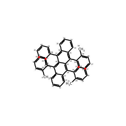 Cc1ccccc1-c1c2ccccc2c(-c2ccccc2C)c2c(-c3ccccc3C)c3ccccc3c(-c3ccccc3C)c12